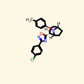 Cc1ccc([C@H]2C[C@@H]3CC[C@H]([C@@H]2c2nc(-c4ccc(Cl)cc4)no2)N3C)cc1